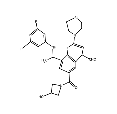 CC(Nc1cc(F)cc(F)c1)c1cc(C(=O)N2CC(O)C2)cc2c1OC(N1CCOCC1)=CC2C=O